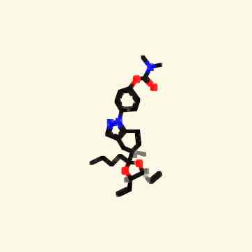 C=C[C@H]1OC(CCCC)([C@]2(C)C=Cc3c(cnn3-c3ccc(OC(=O)N(C)C)cc3)C2)O[C@@H]1C=C